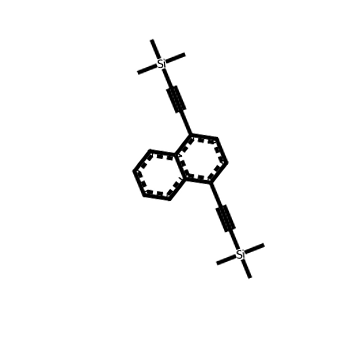 C[Si](C)(C)C#Cc1ccc(C#C[Si](C)(C)C)c2ccccc12